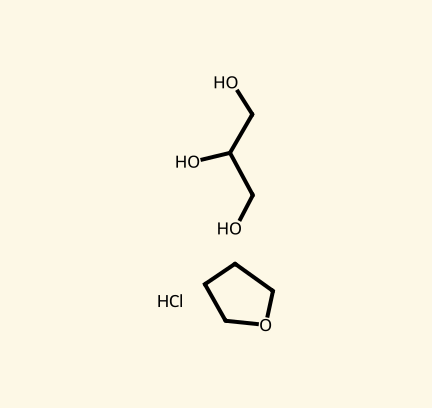 C1CCOC1.Cl.OCC(O)CO